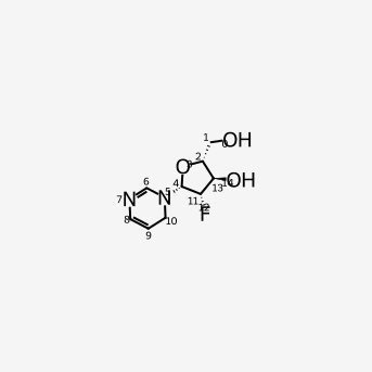 OC[C@H]1O[C@@H](N2C=NC=CC2)[C@@H](F)[C@@H]1O